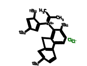 CCCCC1C=C(C(C)(C)C)C=[C]1[Zr+2](=[C](C)C)[c]1c(C(C)(C)C)ccc2c1Cc1cc(C(C)(C)C)ccc1-2.[Cl-].[Cl-]